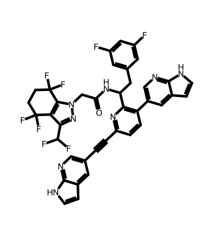 O=C(Cn1nc(C(F)F)c2c1C(F)(F)CCC2(F)F)NC(Cc1cc(F)cc(F)c1)c1nc(C#Cc2cnc3[nH]ccc3c2)ccc1-c1cnc2[nH]ccc2c1